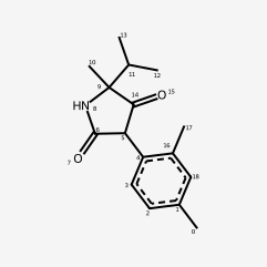 Cc1ccc(C2C(=O)NC(C)(C(C)C)C2=O)c(C)c1